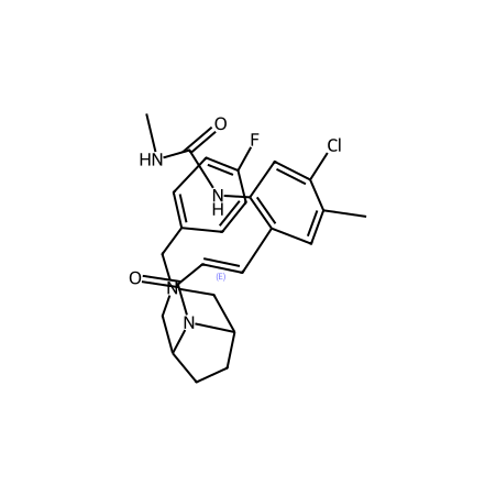 CNC(=O)Nc1cc(Cl)c(C)cc1/C=C/C(=O)N1C2CCC1CN(Cc1ccc(F)cc1)C2